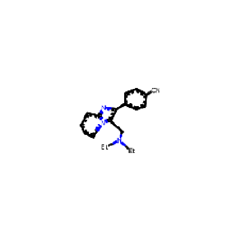 CCN(CC)Cc1c(-c2ccc(C#N)cc2)nc2ccccn12